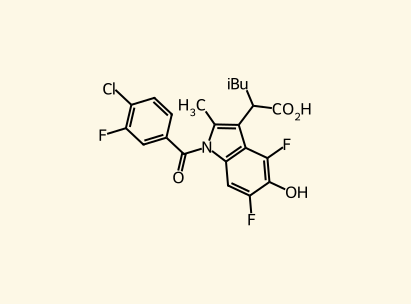 CCC(C)C(C(=O)O)c1c(C)n(C(=O)c2ccc(Cl)c(F)c2)c2cc(F)c(O)c(F)c12